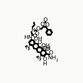 CCCN(CC(=O)Nc1cc(N(C)C)c2c(c1O)C(=O)C1=C(O)[C@]3(O)C(=O)C(C(N)=O)=C(O)[C@H](N(C)C)C3CC1C2)C(=O)OCc1oc(=O)oc1-c1ccccc1